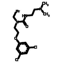 CC(C)CN(CCOc1cc(Cl)cc(Cl)c1)C(=O)NCCN(C)C